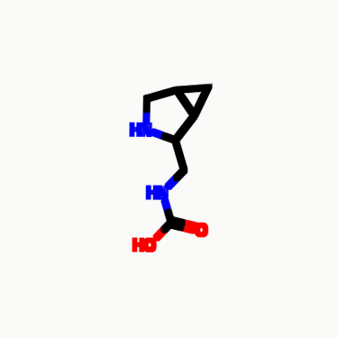 O=C(O)NCC1NCC2CC21